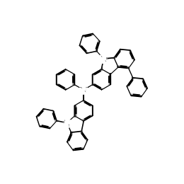 c1ccc(-c2cccc3c2c2ccc(N(c4ccccc4)c4ccc5c6ccccc6n(-c6ccccc6)c5c4)cc2n3-c2ccccc2)cc1